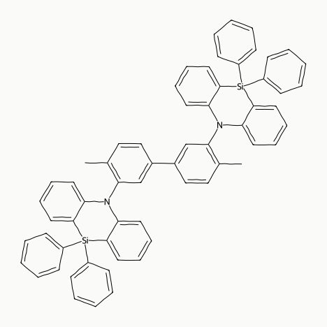 Cc1ccc(-c2ccc(C)c(N3c4ccccc4[Si](c4ccccc4)(c4ccccc4)c4ccccc43)c2)cc1N1c2ccccc2[Si](c2ccccc2)(c2ccccc2)c2ccccc21